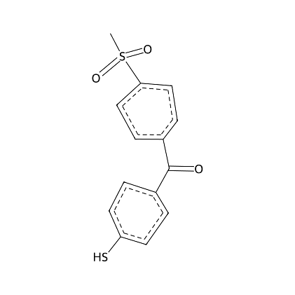 CS(=O)(=O)c1ccc(C(=O)c2ccc(S)cc2)cc1